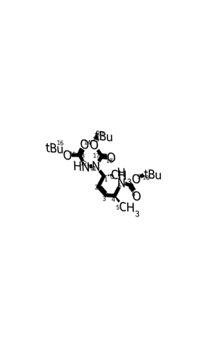 C[C@H](/C=C\[C@H](C)NC(=O)OC(C)(C)C)N(NC(=O)OC(C)(C)C)C(=O)OC(C)(C)C